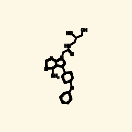 Nc1ncnc2c1c(-c1ccc(Oc3ccccc3)cc1)cn2CC(=O)NC[C@@H](O)CO